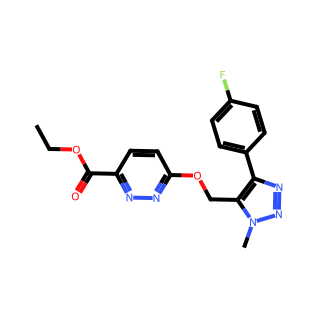 CCOC(=O)c1ccc(OCc2c(-c3ccc(F)cc3)nnn2C)nn1